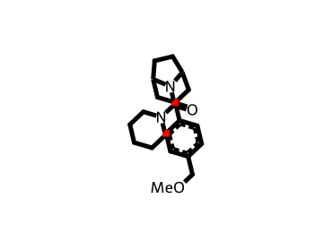 COCc1ccc(C2CC3CCC(C2)N3C(=O)N2CCCCC2)cc1